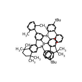 Cc1cccc(C)c1-c1cc2c3c(c1)N(c1ccc(C(C)(C)C)cc1-c1ccccc1)c1ccc4c(c1B3N(c1ccc(C(C)(C)C)cc1)c1cc3c(cc1-2)C(C)(C)CCC3(C)C)-c1ccccc1C4(C)C